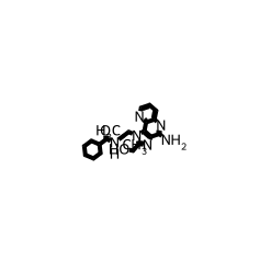 CC(C)(Cn1c(CO)nc2c(N)nc3cccnc3c21)NC(=O)C1CCCCC1